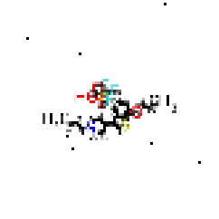 CCCCN1CC=C(c2csc3c(OCCC)cccc23)CC1.O=S(=O)(O)C(F)(F)F